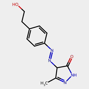 CC1=NNC(=O)C1N=Nc1ccc(CCO)cc1